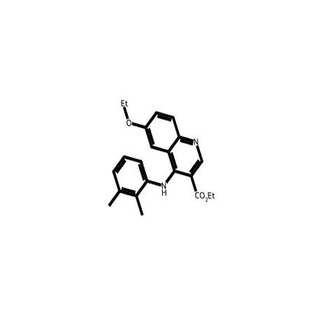 CCOC(=O)c1cnc2ccc(OCC)cc2c1Nc1cccc(C)c1C